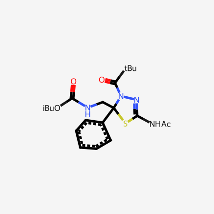 CC(=O)NC1=NN(C(=O)C(C)(C)C)C(CNC(=O)OCC(C)C)(c2ccccc2)S1